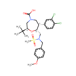 COc1ccc(CN(C[C@@H]2O[C@@H](C(C)(C)C)CN(C(=O)O)C[C@@H]2c2ccc(Cl)c(Cl)c2)S(C)(=O)=O)cc1